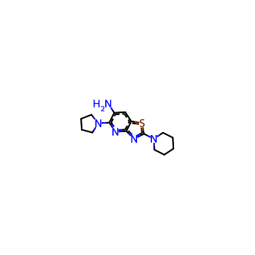 Nc1cc2sc(N3CCCCC3)nc2nc1N1CCCC1